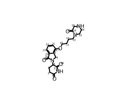 O=C1CCC(N2Cc3c(OCCCCN4CCNCC4=O)cccc3C2=O)C(=O)N1